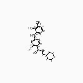 O=C(NCC1CCOCC1)c1cnc(Nc2cccc(C(F)(F)F)c2S)nc1C(F)(F)F